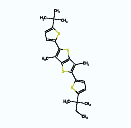 CCC(C)(C)c1ccc(-c2sc3c(C)c(-c4ccc(C(C)(C)C)s4)sc3c2C)s1